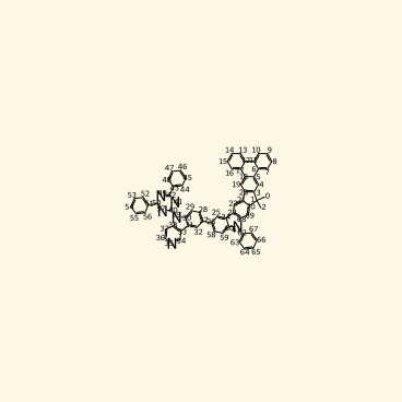 CC1(C)c2cc3c4ccccc4c4ccccc4c3cc2-c2cc3c4cc(-c5ccc6c(c5)c5cnccc5n6-c5nc(-c6ccccc6)nc(-c6ccccc6)n5)ccc4n(-c4ccccc4)c3cc21